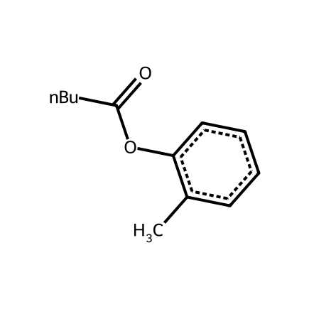 CCCCC(=O)Oc1ccccc1C